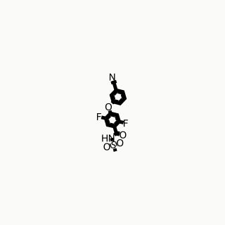 CS(=O)(=O)NC(=O)c1cc(F)c(Oc2cccc(C#N)c2)cc1F